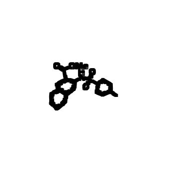 COC(=O)c1cc2ccccc2cc1NS(=O)(=O)c1ccc(C)cc1